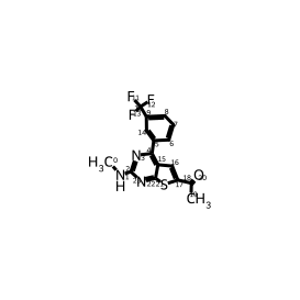 CNc1nc(-c2cccc(C(F)(F)F)c2)c2cc(C(C)=O)sc2n1